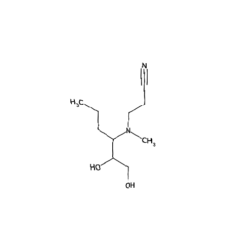 CCCC(C(O)CO)N(C)CCC#N